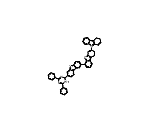 C1=Cc2c(c3ccccc3n2C2=Cc3oc4c(-c5ccc6sc7cc(C8N=C(c9ccccc9)N=C(c9ccccc9)N8)ccc7c6c5)cccc4c3CC2)CC1